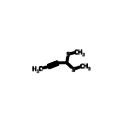 CC#C[C](SC)SC